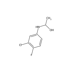 CC(O)Nc1ccc(F)c(Cl)c1